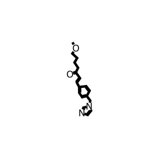 COCCCCC(=O)C=Cc1ccc(Cn2ccnc2)cc1